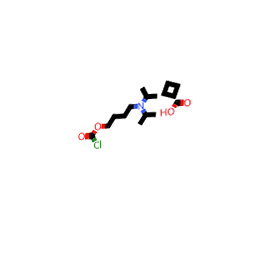 C1CCC1.CC(C)N(CCCCOC(=O)Cl)C(C)C.O=CO